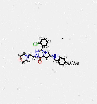 COc1ccc(CN[C@H]2C[C@@H](C(=O)NCCN3CCOCC3)N(Cc3ccccc3Cl)C2)cc1